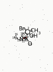 Cc1cc(Br)c2c(c1O)[C@@]13CCN(CC4CC4)C(C2)C1CCC(=O)C3